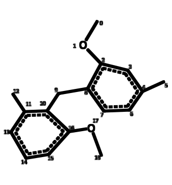 COc1cc(C)ccc1Cc1c(C)cccc1OC